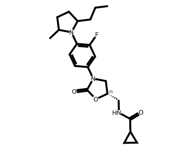 CCCC1CCC(C)N1c1ccc(N2C[C@H](CNC(=O)C3CC3)OC2=O)cc1F